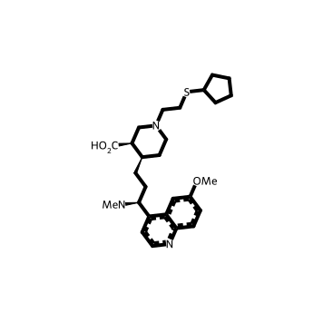 CN[C@@H](CC[C@@H]1CCN(CCSC2CCCC2)C[C@@H]1C(=O)O)c1ccnc2ccc(OC)cc12